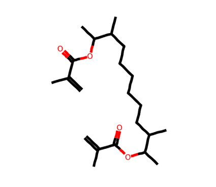 C=C(C)C(=O)OC(C)C(C)CCCCCCC(C)C(C)OC(=O)C(=C)C